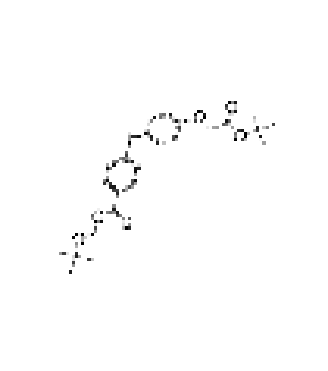 CC(C)(C)OCOC(=O)c1ccc([I+]c2ccc(OCC(=O)OC(C)(C)C)cc2)cc1